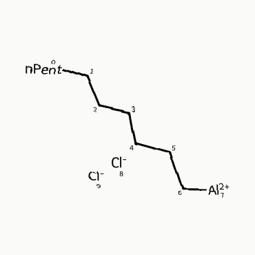 CCCCCCCCCC[CH2][Al+2].[Cl-].[Cl-]